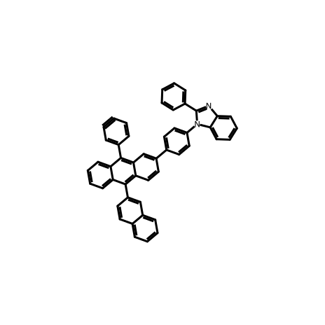 c1ccc(-c2c3ccccc3c(-c3ccc4ccccc4c3)c3ccc(-c4ccc(-n5c(-c6ccccc6)nc6ccccc65)cc4)cc23)cc#1